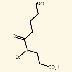 CCCCCCCCCCCC(=O)N(CC)CCC(=O)O